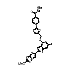 COc1nn2cc(-c3cc4c(OCc5csc(-c6ccc(C(=O)NC(C)(C)C)cc6)n5)cc(F)cc4o3)nc2s1